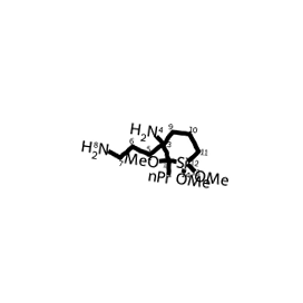 CCCC1(OC)C(N)(CCCN)CCC[Si]1(OC)OC